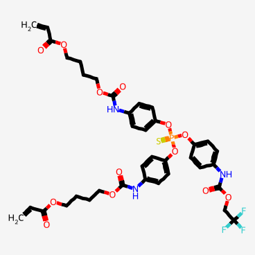 C=CC(=O)OCCCCOC(=O)Nc1ccc(OP(=S)(Oc2ccc(NC(=O)OCCCCOC(=O)C=C)cc2)Oc2ccc(NC(=O)OCC(F)(F)F)cc2)cc1